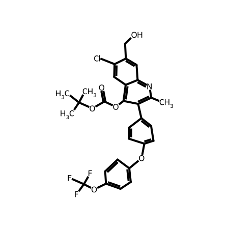 Cc1nc2cc(CO)c(Cl)cc2c(OC(=O)OC(C)(C)C)c1-c1ccc(Oc2ccc(OC(F)(F)F)cc2)cc1